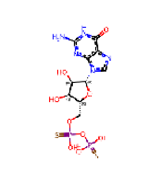 Nc1nc2c(ncn2[C@@H]2O[C@H](COP(O)(=S)OP(O)(O)=S)[C@@H](O)[C@H]2O)c(=O)[nH]1